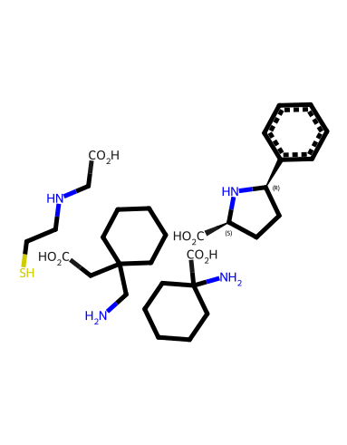 NC1(C(=O)O)CCCCC1.NCC1(CC(=O)O)CCCCC1.O=C(O)CNCCS.O=C(O)[C@@H]1CC[C@H](c2ccccc2)N1